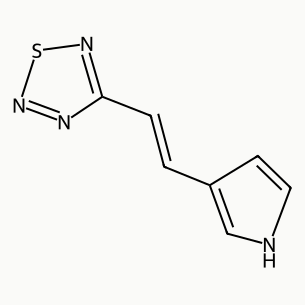 C(=Cc1nnsn1)c1cc[nH]c1